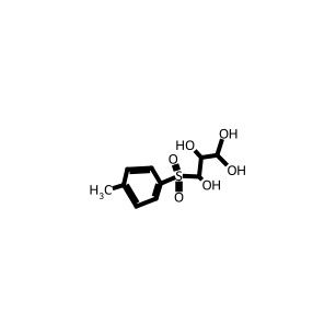 Cc1ccc(S(=O)(=O)C(O)C(O)C(O)O)cc1